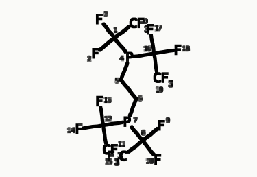 FC(F)(F)C(F)(F)P(CCP(C(F)(F)C(F)(F)F)C(F)(F)C(F)(F)F)C(F)(F)C(F)(F)F